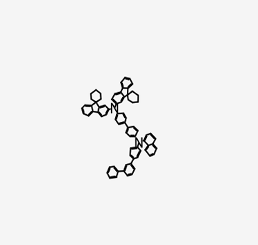 c1ccc(-c2cccc(-c3ccc(N(c4ccc(-c5ccc(N(c6ccc7c(c6)C6(CCCCC6)c6ccccc6-7)c6ccc7c(c6)C6(CCCCC6)c6ccccc6-7)cc5)cc4)c4cccc5ccccc45)cc3)c2)cc1